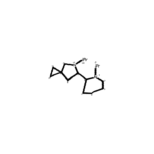 CC(C)N1CCCCC1C1CC2(CC2)CN1C(C)C